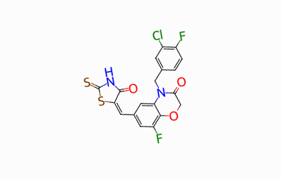 O=C1NC(=S)SC1=Cc1cc(F)c2c(c1)N(Cc1ccc(F)c(Cl)c1)C(=O)CO2